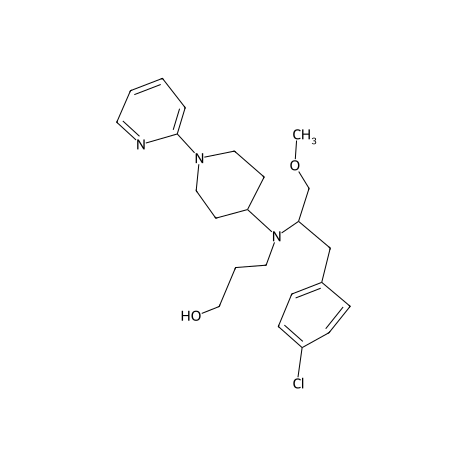 COCC(Cc1ccc(Cl)cc1)N(CCCO)C1CCN(c2ccccn2)CC1